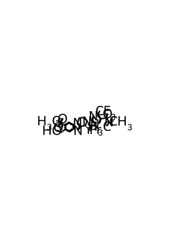 CC(C)[C@H]1c2nc3cc(CO)c(S(C)(=O)=O)cc3n2CCN1c1ncc(C(=O)N(C)C)c(C(F)(F)F)n1